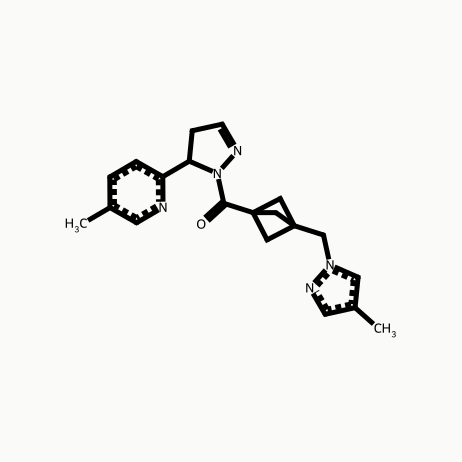 Cc1ccc(C2CC=NN2C(=O)C23CC(Cn4cc(C)cn4)(C2)C3)nc1